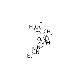 C=C(/C=C(F)\C=C(/C)F)[C@@H]1CC[C@H]2OC3(CCN(c4ncc(CC)cn4)CC3)C(=O)N21